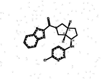 O=C(c1nc2ccccc2s1)N1C[C@@H]2CC[C@@H](Nc3ccc(Cl)nn3)[C@@H]2C1